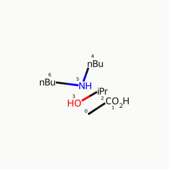 CC(=O)O.CC(C)O.CCCCNCCCC